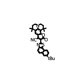 CC(C)(C)c1ccc2c(ccc3nc(-c4c(C#N)c5cc6c7c(c5oc4=O)C(C)(C)CCN7CCC6(C)C)sc32)c1